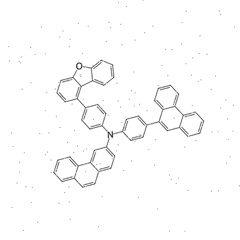 c1ccc2c(c1)ccc1ccc(N(c3ccc(-c4cc5ccccc5c5ccccc45)cc3)c3ccc(-c4cccc5oc6ccccc6c45)cc3)cc12